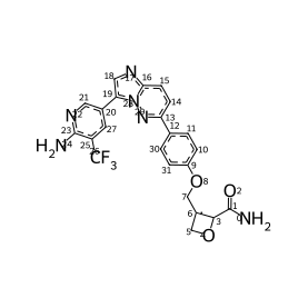 NC(=O)C1OC[C]1COc1ccc(-c2ccc3ncc(-c4cnc(N)c(C(F)(F)F)c4)n3n2)cc1